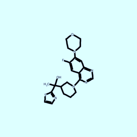 CC(O)(c1nccs1)C1CCCN(c2ncnc3cc(N4CCOCC4)c(F)cc23)C1